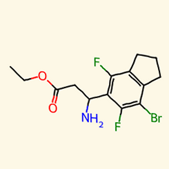 CCOC(=O)CC(N)c1c(F)c(Br)c2c(c1F)CCC2